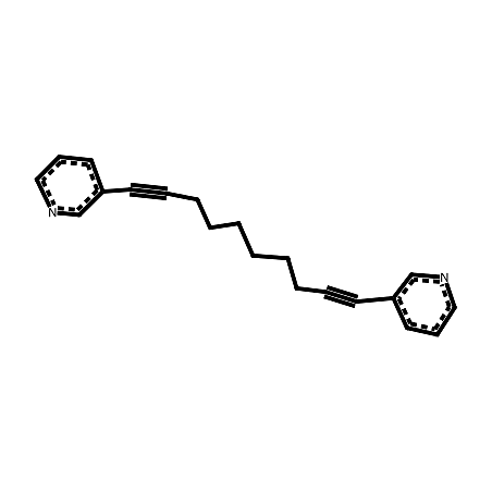 C(#Cc1cccnc1)CCCCCCC#Cc1cccnc1